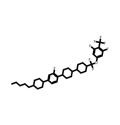 CCCCCC1CCC(c2ccc(C3CCC(C4CCC(C(F)(F)Oc5cc(F)c(C(F)(F)F)c(F)c5)CC4)CC3)c(F)c2)CC1